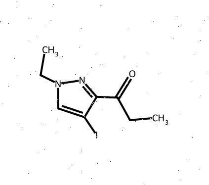 CCC(=O)c1nn(CC)cc1I